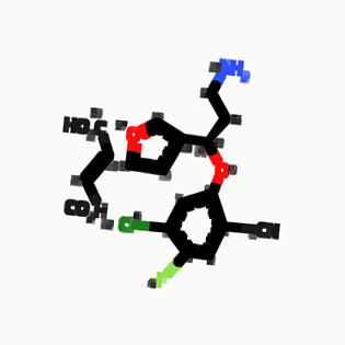 N#Cc1cc(F)c(Cl)cc1O[C@H](CCN)c1ccoc1.O=C(O)C=CC(=O)O